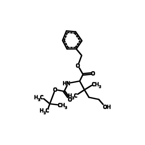 CC(C)(C)OC(=O)NC(C(=O)OCc1ccccc1)C(C)(C)CCO